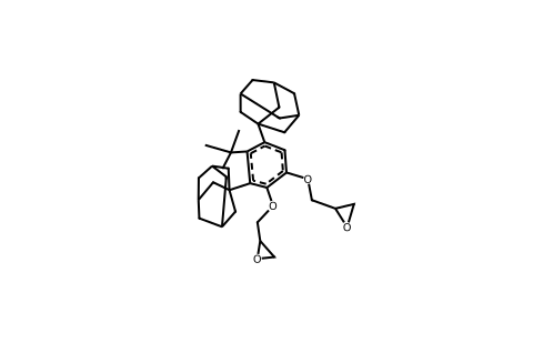 CC(C)(C)c1c(C23CC4CC(CC(C4)C2)C3)cc(OCC2CO2)c(OCC2CO2)c1C12CC3CC(CC(C3)C1)C2